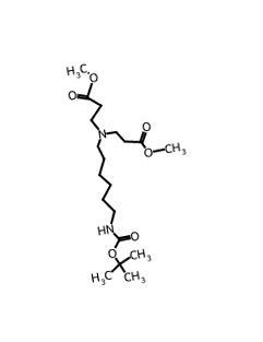 COC(=O)CCN(CCCCCCNC(=O)OC(C)(C)C)CCC(=O)OC